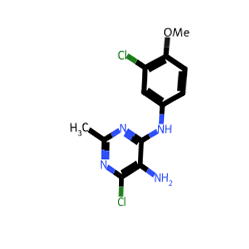 COc1ccc(Nc2nc(C)nc(Cl)c2N)cc1Cl